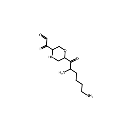 NCCCCC(N)C(=O)C1CNC(C(=O)C=O)CO1